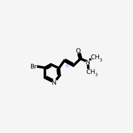 CN(C)C(=O)/C=C/c1cncc(Br)c1